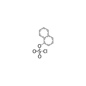 O=S(=O)(Cl)Oc1cccc2ccccc12